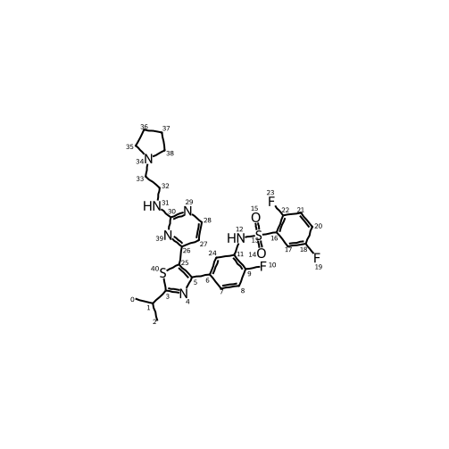 CC(C)c1nc(-c2ccc(F)c(NS(=O)(=O)c3cc(F)ccc3F)c2)c(-c2ccnc(NCCN3CCCC3)n2)s1